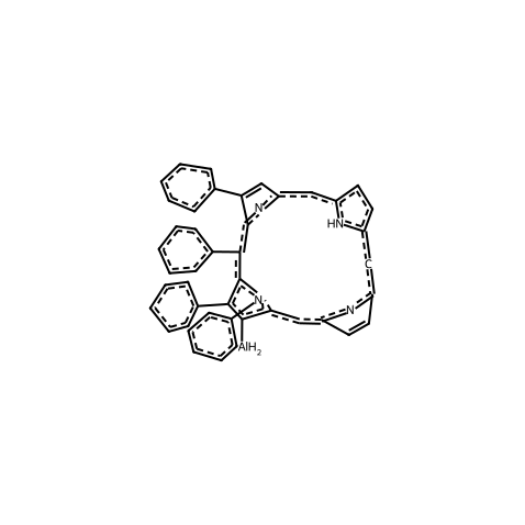 [AlH2][c]1c(-c2ccccc2)c2c(-c3ccccc3)c3nc(cc4ccc(cc5nc(cc1n2-c1ccccc1)C=C5)[nH]4)C=C3c1ccccc1